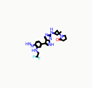 CC1(N2CCCC2=O)CC(Nc2ncc3c(-c4ccc(N=N)c(NCC(F)F)c4)c[nH]c3n2)C1